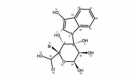 Oc1cn([C@]2(O)[C@@H](O)[C@@](Br)(C(O)Cl)O[C@H](O)[C@@H]2O)c2ccccc12